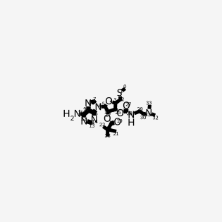 CSCC1OC(n2cnc3c(N)ncnc32)C(OC(=O)C(C)(C)C)C1OC(=O)NCCN(C)C